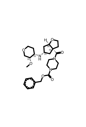 CO[C@@H]1COCC[C@@H]1N[C@@H]1C[C@H]2OCC[C@@]2(C(=O)N2CCN(C(=O)OCc3ccccc3)CC2)C1